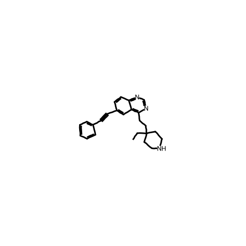 CCC1(CCc2ncnc3ccc(C#Cc4ccccc4)cc23)CCNCC1